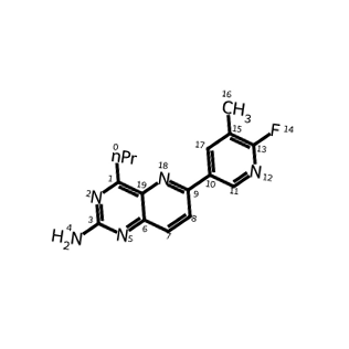 CCCc1nc(N)nc2ccc(-c3cnc(F)c(C)c3)nc12